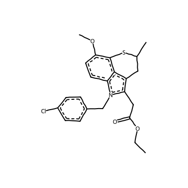 CCOC(=O)Cc1c2c3c(c(OC)ccc3n1Cc1ccc(Cl)cc1)SC(C)C2